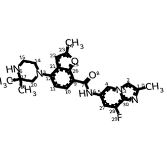 Cc1cn2cc(NC(=O)c3ccc(N4CCNC(C)(C)C4)c4cc(C)oc34)cc(F)c2n1